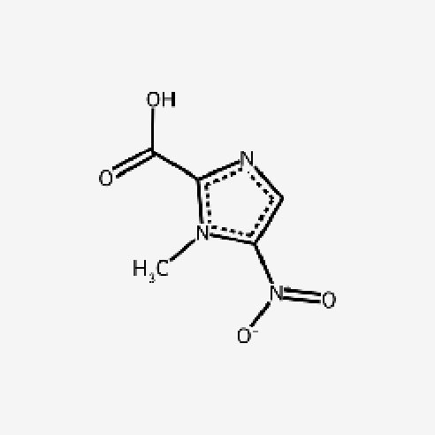 Cn1c([N+](=O)[O-])cnc1C(=O)O